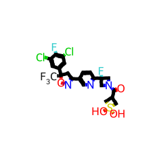 O=C(C1CS(O)(O)C1)N1CC(F)(c2ccc(C3=NOC(c4cc(Cl)c(F)c(Cl)c4)(C(F)(F)F)C3)cn2)C1